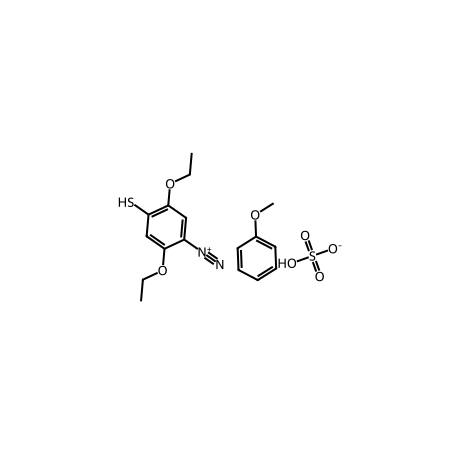 CCOc1cc([N+]#N)c(OCC)cc1S.COc1ccccc1.O=S(=O)([O-])O